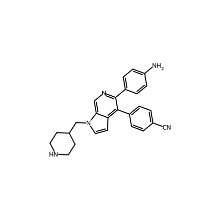 N#Cc1ccc(-c2c(-c3ccc(N)cc3)ncc3c2ccn3CC2CCNCC2)cc1